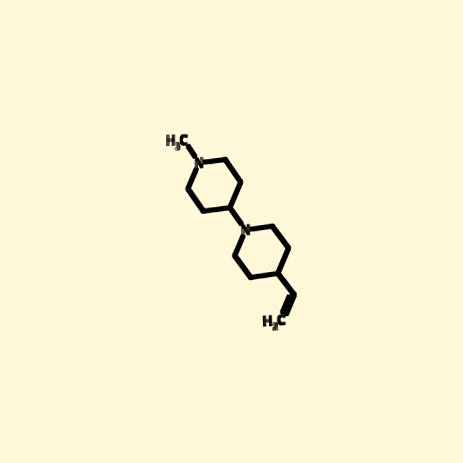 C=CC1CCN(C2CCN(C)CC2)CC1